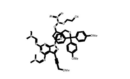 COCC#Cc1nn(C2CC(OP(OCCC#N)N(C(C)C)C(C)C)C(COC(c3ccccc3)(c3ccc(OC)cc3)c3ccc(OC)cc3)O2)c2nc(/N=C/N(C)C)nc(/N=C\N(C)C)c12